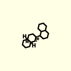 [CH]1[C@H](C2CCCC3CCCCC32)CC[C@H]2CCCC[C@H]12